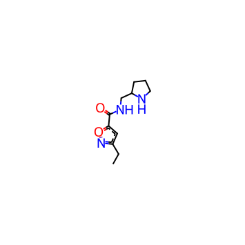 CCc1cc(C(=O)NCC2CCCN2)on1